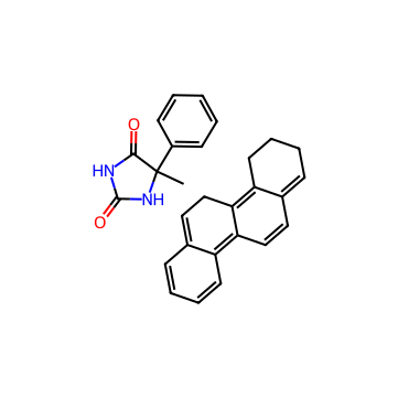 C1=c2ccc3c(c2CCC1)CC=c1ccccc1=3.CC1(c2ccccc2)NC(=O)NC1=O